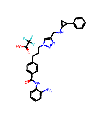 Nc1ccccc1NC(=O)c1ccc(CCCn2cc(CNC3CC3c3ccccc3)nn2)cc1.O=C(O)C(F)(F)F